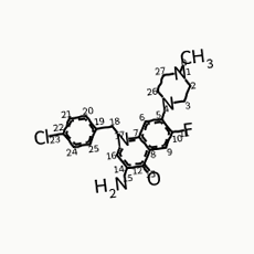 CN1CCN(c2cc3c(cc2F)c(=O)c(N)cn3Cc2ccc(Cl)cc2)CC1